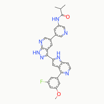 COc1cc(F)cc(-c2nccc3[nH]c(-c4n[nH]c5ncc(-c6cncc(NC(=O)C(C)C)c6)cc45)cc23)c1